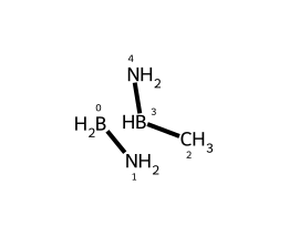 BN.CBN